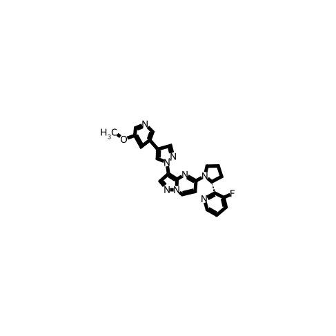 COc1cncc(-c2cnn(-c3cnn4ccc(N5CCC[C@@H]5c5ncccc5F)nc34)c2)c1